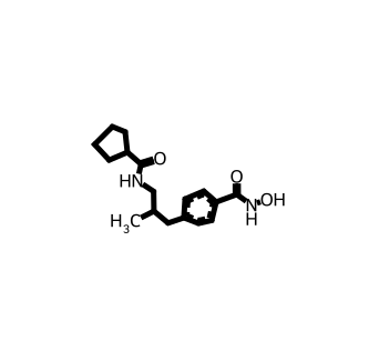 CC(CNC(=O)C1CCCC1)Cc1ccc(C(=O)NO)cc1